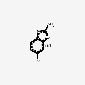 Cl.Nc1nc2ccc(Br)cc2s1